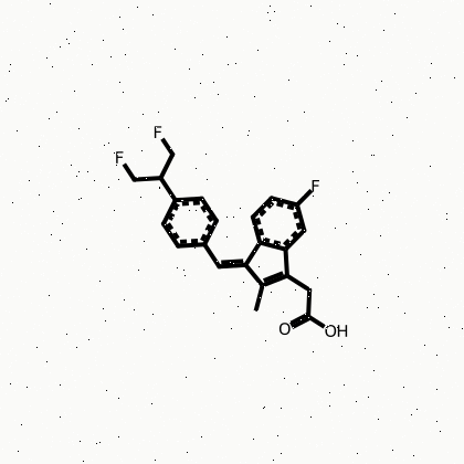 CC1=C(CC(=O)O)c2cc(F)ccc2/C1=C\c1ccc(C(CF)CF)cc1